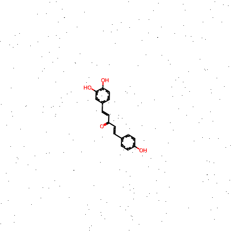 O=C(/C=C/c1ccc(O)cc1)/C=C/c1ccc(O)c(O)c1